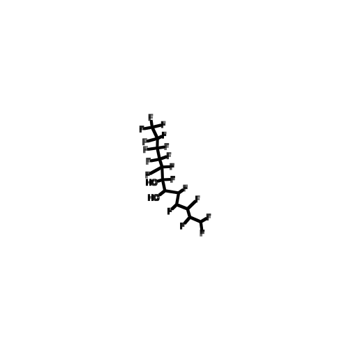 OC(C(F)C(F)C(F)C(F)C(F)F)C(O)(F)C(F)(F)C(F)(F)C(F)(F)C(F)(F)C(F)(F)F